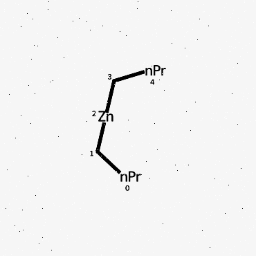 CCC[CH2][Zn][CH2]CCC